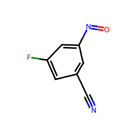 N#Cc1cc(F)cc(N=O)c1